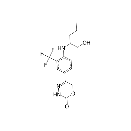 CCCC(CO)Nc1ccc(C2=NNC(=O)OC2)cc1C(F)(F)F